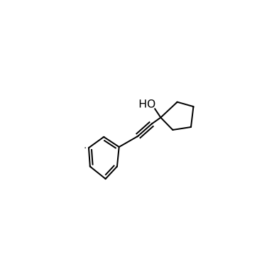 OC1(C#Cc2c[c]ccc2)CCCC1